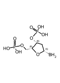 B[C@H]1C[C@@H](OP(=O)(O)O)[C@@H](COP(=O)(O)O)O1